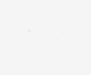 CCOc1ccc(C(=O)C(C)(C)C)cc1